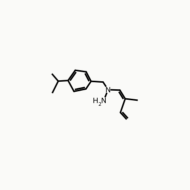 C=C/C(C)=C\N(N)Cc1ccc(C(C)C)cc1